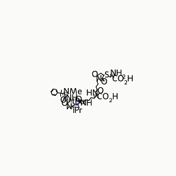 CN[C@H](C(=O)N[C@H](C(=O)N(C)[C@H](/C=C(\C)C(=O)NCCCC[C@@H](NC(=O)CCCN1C(=O)CC(SC[C@H](N)C(=O)O)C1=O)C(=O)O)C(C)C)C(C)(C)C)C(C)(C)c1ccccc1